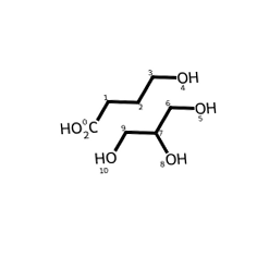 O=C(O)CCCO.OCC(O)CO